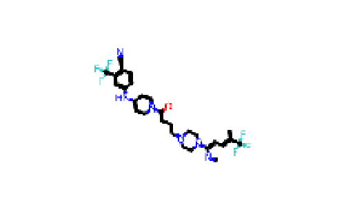 C=N/C(=C\C=C(/C)C(F)(F)F)N1CCN(CCCC(=O)N2CCC(Nc3ccc(C#N)c(C(F)(F)F)c3)CC2)CC1